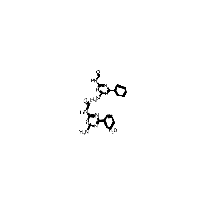 Nc1nc(NC=O)nc(-c2ccccc2)n1.Nc1nc(NC=O)nc(-c2ccccc2)n1.O